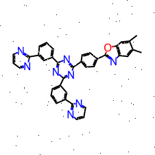 Cc1cc2nc(-c3ccc(-c4nc(-c5cccc(-c6ncccn6)c5)nc(-c5cccc(-c6ncccn6)c5)n4)cc3)oc2cc1C